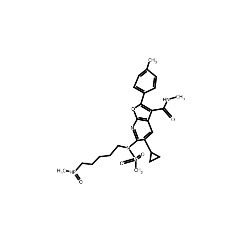 CNC(=O)c1c(-c2ccc(C)cc2)oc2nc(N(CCCCC[PH](C)=O)S(C)(=O)=O)c(C3CC3)cc12